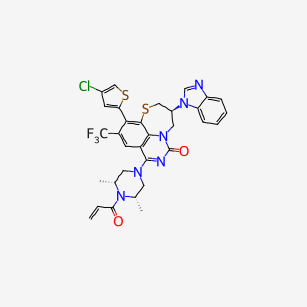 C=CC(=O)N1[C@H](C)CN(c2nc(=O)n3c4c(c(-c5cc(Cl)cs5)c(C(F)(F)F)cc24)SC[C@@H](n2cnc4ccccc42)C3)C[C@@H]1C